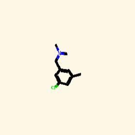 Cc1cc(Cl)cc(CN(C)C)c1